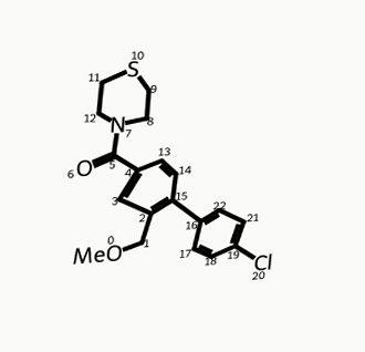 COCc1cc(C(=O)N2CCSCC2)ccc1-c1ccc(Cl)cc1